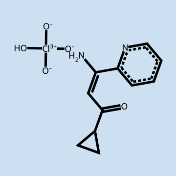 N/C(=C/C(=O)C1CC1)c1ccccn1.[O-][Cl+3]([O-])([O-])O